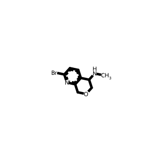 CNC1COCc2nc(Br)ccc21